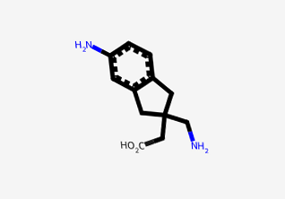 NCC1(CC(=O)O)Cc2ccc(N)cc2C1